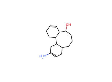 NC1=CCC2CCCC(O)C3C=CCCC3C2C1